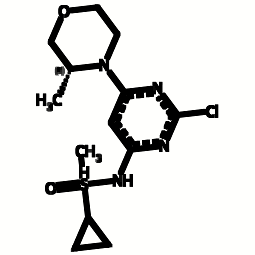 C[C@@H]1COCCN1c1cc(N[SH](C)(=O)C2CC2)nc(Cl)n1